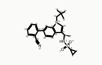 C[C@@H](NS(=O)(=O)C1CC1)c1cn(CC(C)(C)C)c2cc(-c3ccccc3C#N)ccc12